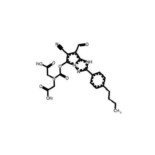 CCCCc1ccc(-c2nn3c(OC(=O)N(CC(=O)O)CC(=O)O)c(C#N)c(C=O)c3[nH]2)cc1